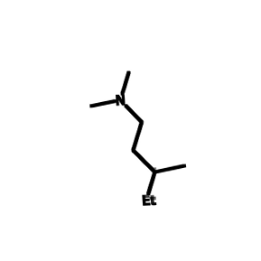 CC[C](C)CCN(C)C